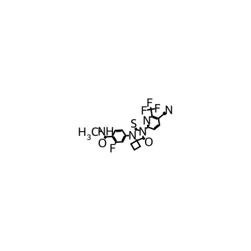 CNC(=O)c1ccc(N2C(=S)N(c3ccc(C#N)c(C(F)(F)F)n3)C(=O)C23CCC3)cc1F